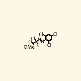 COC(=O)C(Cl)(Cl)/N=N/c1c(Cl)cc(Cl)cc1Cl